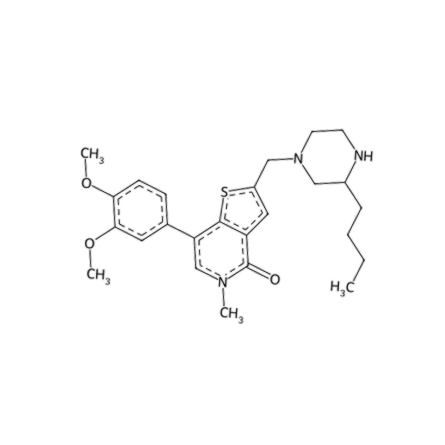 CCCCC1CN(Cc2cc3c(=O)n(C)cc(-c4ccc(OC)c(OC)c4)c3s2)CCN1